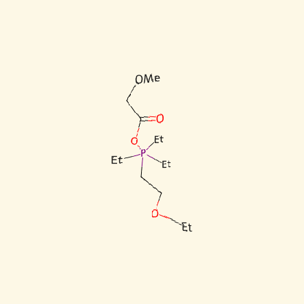 CCOCCP(CC)(CC)(CC)OC(=O)COC